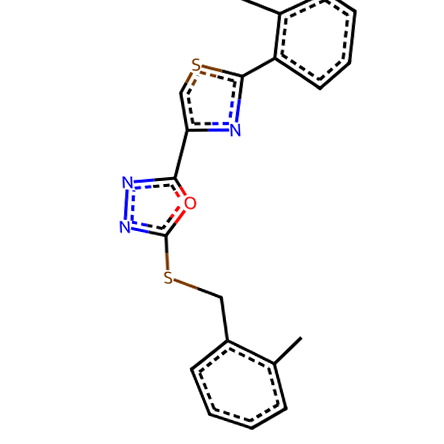 Cc1ccccc1CSc1nnc(-c2csc(-c3ccccc3C)n2)o1